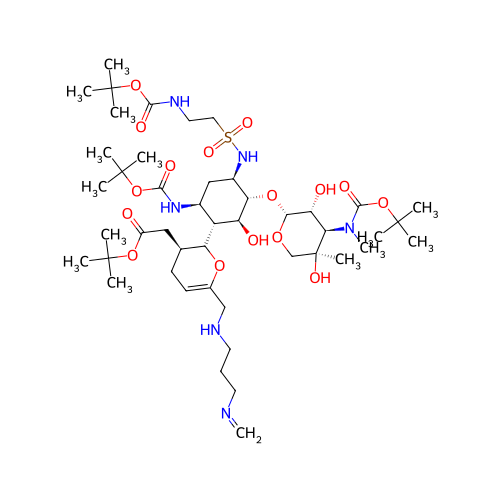 C=NCCCNCC1=CC[C@@H](CC(=O)OC(C)(C)C)C([C@H]2[C@H](O)[C@@H](O[C@H]3OC[C@](C)(O)[C@H](N(C)C(=O)OC(C)(C)C)[C@H]3O)[C@H](NS(=O)(=O)CCNC(=O)OC(C)(C)C)C[C@@H]2NC(=O)OC(C)(C)C)O1